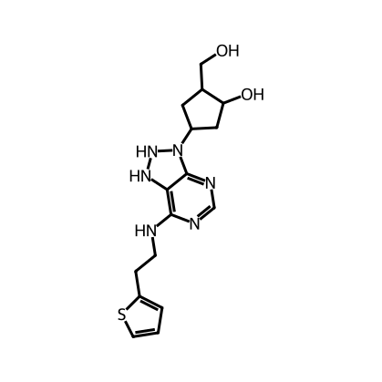 OCC1CC(N2NNc3c(NCCc4cccs4)ncnc32)CC1O